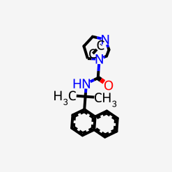 CC(C)(NC(=O)N1CCN2CCC1CC2)c1cccc2ccccc12